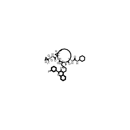 CC1(S(=O)(=O)NC(=O)[C@@]23C[C@H]2C=CCCCCC[C@H](NC(=O)NC2CCCCC2)C(=O)N2C[C@@]4(CCc5c(c(-c6cccc(F)c6)nc6ccccc56)O4)C[C@H]2C(=O)N3)CC1